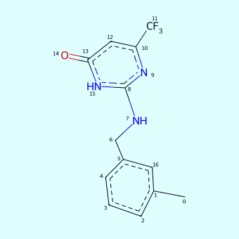 Cc1cccc(CNc2nc(C(F)(F)F)cc(=O)[nH]2)c1